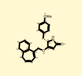 COc1ccc(C[C@@H]2NC(=O)C=C2OCC2=CC=CCC3=C2C=CCC3)cc1